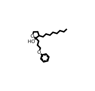 CCCCCCCCC1CCOC1(O)CCCOc1ccccc1